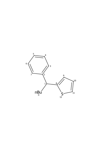 CCCCC(c1ccccc1)c1cccs1